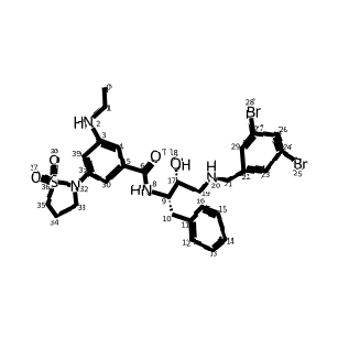 CCNc1cc(C(=O)N[C@@H](Cc2ccccc2)[C@H](O)CNCc2cc(Br)cc(Br)c2)cc(N2CCCS2(=O)=O)c1